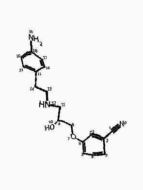 N#Cc1cccc(OC[C@@H](O)CNCCc2ccc(N)cc2)c1